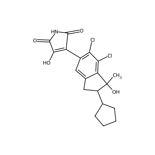 CC1(O)c2c(cc(C3=C(O)C(=O)NC3=O)c(Cl)c2Cl)CC1C1CCCC1